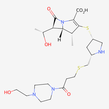 C[C@@H](O)[C@H]1C(=O)N2C(C(=O)O)=C(S[C@@H]3CN[C@H](CSCCC(=O)N4CCN(CCO)CC4)C3)[C@H](C)[C@H]12